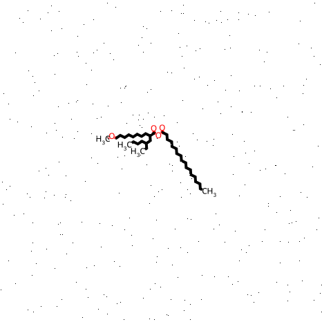 CCCCCCCCCCCCCCCCCC(=O)OC(=O)C(CCCCCCCCOC)CC(CC)CCCC